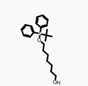 CC(C)(C)[Si](OCCCCCCCO)(c1ccccc1)c1ccccc1